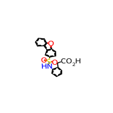 O=C(O)Cc1ccccc1NS(=O)(=O)c1ccc2oc3ccccc3c2c1